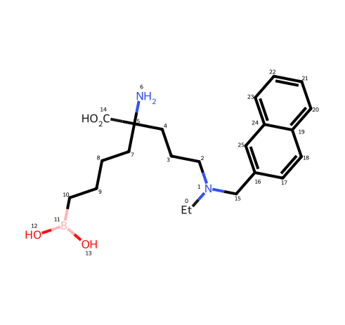 CCN(CCCC(N)(CCCCB(O)O)C(=O)O)Cc1ccc2ccccc2c1